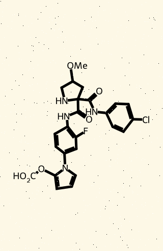 COC1CNC(C(=O)Nc2ccc(Cl)cc2)(C(=O)Nc2ccc(-n3cccc3OC(=O)O)cc2F)C1